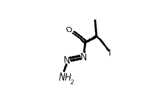 CC(I)C(=O)N=NN